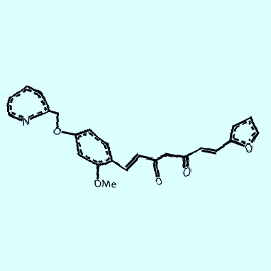 COc1cc(OCc2ccccn2)ccc1/C=C/C(=O)CC(=O)/C=C/c1ccco1